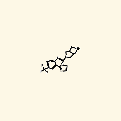 FC(F)(F)c1ccc2nc(N3CC4CNCC4C3)n3ncnc3c2c1